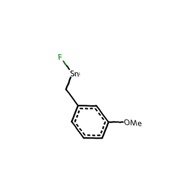 COc1cccc([CH2][Sn][F])c1